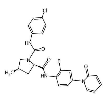 C[C@@H]1C[C@H](C(=O)Nc2ccc(-n3ccccc3=O)cc2F)N(C(=O)Nc2ccc(Cl)cc2)C1